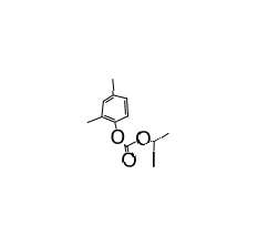 Cc1ccc(OC(=O)OC(C)I)c(C)c1